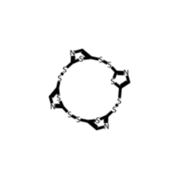 c1nc2sc1SSc1ncc(s1)SSc1ncc(s1)SSc1ncc(s1)SS2